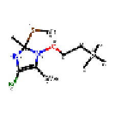 CCCSC1(C)NC(Br)=C(SC)N1OCC[Si](C)(C)C